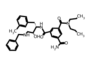 CCCN(CCC)C(=O)c1cc(C(N)=O)cc(C(=O)N[C@@H](Cc2cccc(C)c2)[C@H](O)CNCc2ccccc2)c1